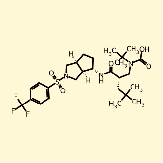 CC(C)(C)C[C@@H](CN(C(=O)O)C(C)(C)C)C(=O)N[C@H]1CC[C@@H]2CN(S(=O)(=O)c3ccc(C(F)(F)F)cc3)C[C@@H]21